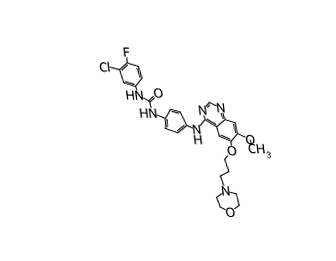 COc1cc2ncnc(Nc3ccc(NC(=O)Nc4ccc(F)c(Cl)c4)cc3)c2cc1OCCCN1CCOCC1